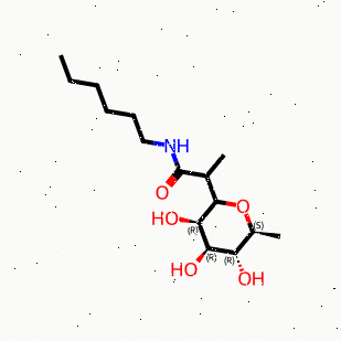 CCCCCCNC(=O)C(C)C1O[C@@H](C)[C@H](O)[C@@H](O)[C@H]1O